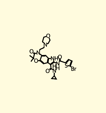 CC1(C)Oc2cc3c(C(=O)NC4CC4)c(NC(=O)c4ccc(Br)s4)[nH]c3cc2N(CCN2CCOCC2)C1=O